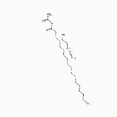 C=C.CCCCCCCCCCCCCCCCCC(=O)OC(C)=O.OCCO